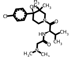 CC(C)[C@@H](NC(=O)CN(C)C)C(=O)N1CC[C@](O)(c2ccc(Cl)cc2)C(C)(C)C1